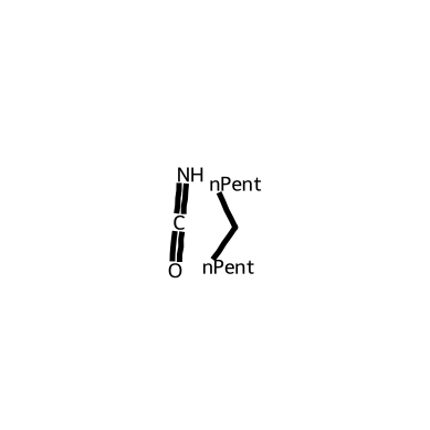 CCCCCCCCCCC.N=C=O